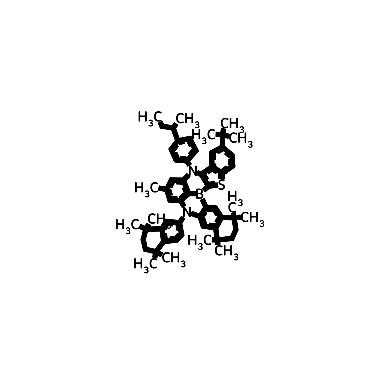 CCC(C)c1ccc(N2c3cc(C)cc4c3B(c3cc5c(cc3N4c3ccc4c(c3)C(C)(C)CCC4(C)C)C(C)(C)CCC5(C)C)c3sc4ccc(C(C)(C)C)cc4c32)cc1